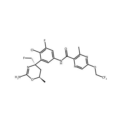 Cc1nc(OCC(F)(F)F)cnc1C(=O)Nc1cc(F)c(Cl)c([C@@]2(CF)C[C@@H](C)OC(N)=N2)c1